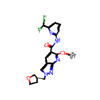 CC(C)Oc1nc2nn(C[C@H]3CCOC3)cc2cc1C(=O)Nc1cccc(C(F)F)n1